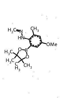 C=NNc1c(C)cc(OC)cc1B1OC(C)(C)C(C)(C)O1